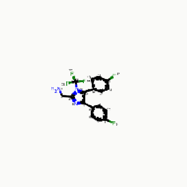 NCc1nc(-c2ccc(F)cc2)c(-c2ccc(F)cc2)n1C(F)(F)F